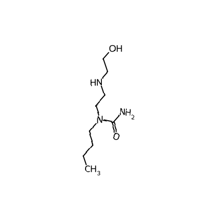 CCCCN(CCNCCO)C(N)=O